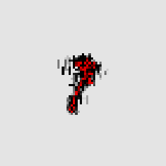 CC(=O)O[C@H]1C(=O)[C@@]2(C)C([C@H](OC(=O)c3ccccc3)[C@]3(O)C[C@H](OC(=O)[C@H](OC(=O)CCCC(=O)NCCOCCOCCNC(=O)OC[C@@H]4[C@@H]5CCC#CCC[C@@H]54)[C@@H](NC(=O)c4ccccc4)c4ccccc4)C(C)=C1C3(C)C)[C@]1(OC(C)=O)CO[C@@H]1C[C@@H]2O